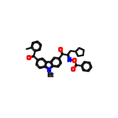 CCn1c2ccc(C(=O)C(CC3CCCC3)=NOC(=O)c3ccccc3)cc2c2cc(C(=O)c3ccccc3C)ccc21